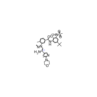 C=NN(/C=C(\N)c1cnc(N2CCOCC2)s1)c1cc(C(=O)Nc2cc(C(C)(C)C)cc(NS(C)(=O)=O)c2OC)ccc1C